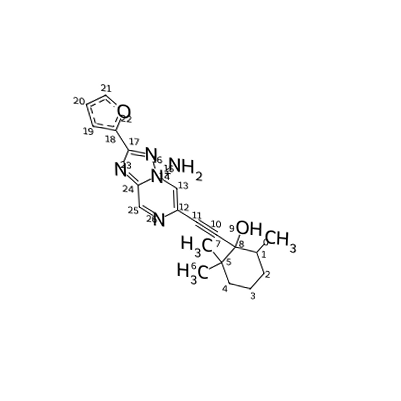 CC1CCCC(C)(C)C1(O)C#CC1=C[N+]2(N)N=C(c3ccco3)N=C2C=N1